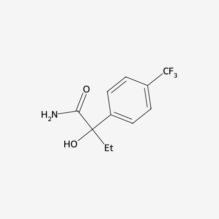 CCC(O)(C(N)=O)c1ccc(C(F)(F)F)cc1